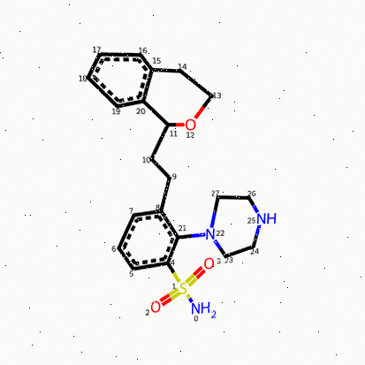 NS(=O)(=O)c1cccc(CCC2OCCc3ccccc32)c1N1CCNCC1